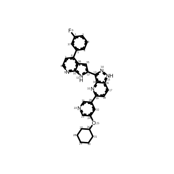 Fc1cccc(-c2ccnc3[nH]c(-c4n[nH]c5ccc(-c6cncc(OC7CCCCC7)c6)nc45)cc23)c1